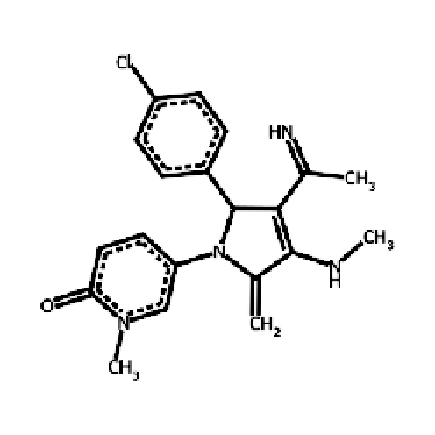 C=C1C(NC)=C(C(C)=N)C(c2ccc(Cl)cc2)N1c1ccc(=O)n(C)c1